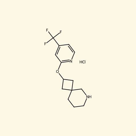 Cl.FC(F)(F)c1ccnc(OC2CC3(CCCNC3)C2)c1